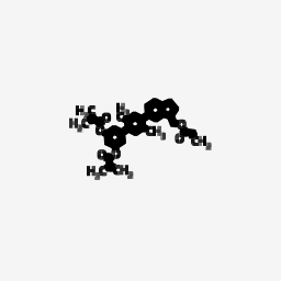 C=CC(=O)OCC1CCc2ccc(-c3cc(C)c(-c4cc(OC(=O)C(=C)C)cc(OC(=O)C(=C)C)c4)cc3C)cc21